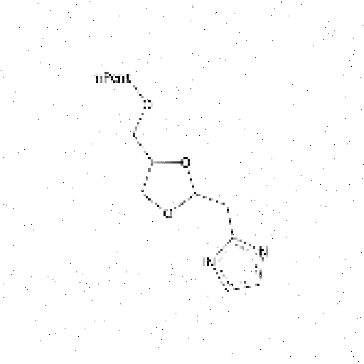 CCCCCOCC1COC(Cc2ncc[nH]2)O1